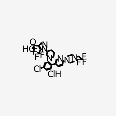 Cl.O=C(O)c1cnn(C2CCCN(c3cc(Cl)ccc3-c3ccc(N4CCN(CC(F)(F)F)CC4)nc3)C2)c1C(F)(F)F